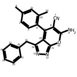 Cc1ccc(-c2c(C#N)c(N)oc3nnc(Cc4ccccc4)c2-3)c(C)c1